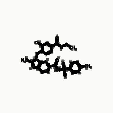 CCOC(=O)c1ccc(Cn2c(C)nc3ccc(C(=O)NS(=O)(=O)c4ccc(C)cc4)nc32)c(Cl)c1